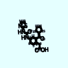 O=C(O)Cc1ccc(NC(=O)Nc2nccs2)cc1C(=O)C1CCCC1